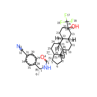 C[C@@H](NC(=O)[C@H]1CC[C@H]2[C@@H]3CC[C@@H]4C[C@@](O)(C(F)(F)F)CC[C@@H]4[C@H]3CC[C@]12C)c1ccc(C#N)cc1